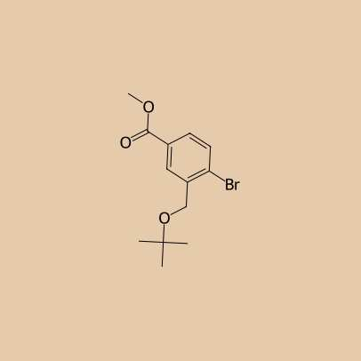 COC(=O)c1ccc(Br)c(COC(C)(C)C)c1